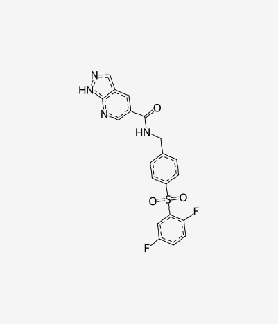 O=C(NCc1ccc(S(=O)(=O)c2cc(F)ccc2F)cc1)c1cnc2[nH]ncc2c1